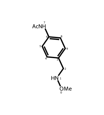 CONCc1ccc(NC(C)=O)cc1